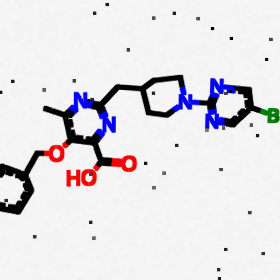 Cc1nc(CC2CCN(c3ncc(Br)cn3)CC2)nc(C(=O)O)c1OCc1ccccc1